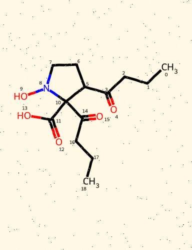 CCCC(=O)C1CCN(O)C1(C(=O)O)C(=O)CCC